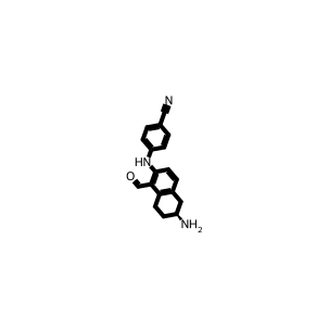 N#Cc1ccc(Nc2ccc3c(c2C=O)CC[C@H](N)C3)cc1